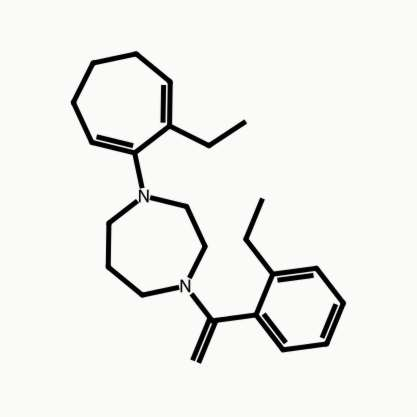 C=C(c1ccccc1CC)N1CCCN(C2=CCCCC=C2CC)CC1